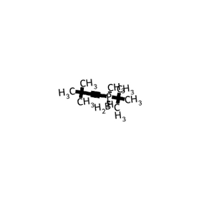 B[PH](C)(C#CC(C)(C)C)C(C)(C)C